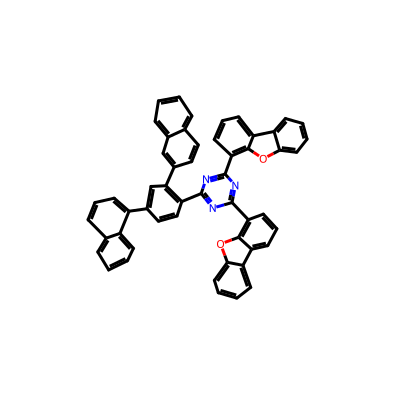 c1ccc2cc(-c3cc(-c4cccc5ccccc45)ccc3-c3nc(-c4cccc5c4oc4ccccc45)nc(-c4cccc5c4oc4ccccc45)n3)ccc2c1